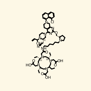 C=CC(O)N1CCN(c2nc(OC[C@@H]3CCCN3CCCCCCNC(=O)CN3C[C@H](CC)N(CC(=O)O)CC(CC)N(CC(=O)O)C[C@H](CC)N(CC(=O)O)C[C@@H]3CC)nc3c2CCN(c2cccc4cccc(Cl)c24)C3)C[C@@H]1CC#N